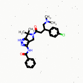 CN(C)CC(CC(=O)N1Cc2c(NC(=O)c3ccccc3)n[nH]c2C1(C)C)c1ccc(Cl)cc1